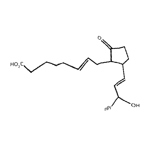 CCCC(O)/C=C/C1CCC(=O)C1C/C=C/CCCCC(=O)O